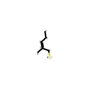 CCC=C(C)C[S]